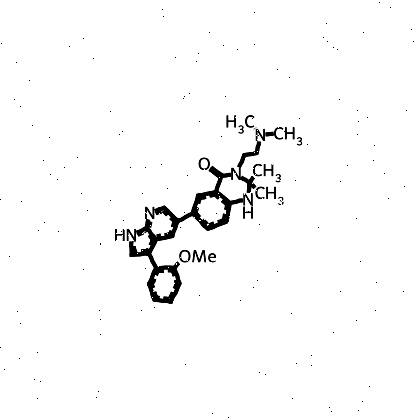 COc1ccccc1-c1c[nH]c2ncc(-c3ccc4c(c3)C(=O)N(CCN(C)C)C(C)(C)N4)cc12